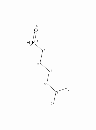 CC(C)CCCC[PH2]=O